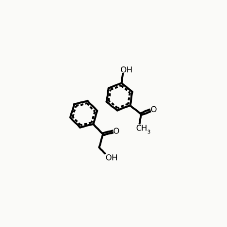 CC(=O)c1cccc(O)c1.O=C(CO)c1ccccc1